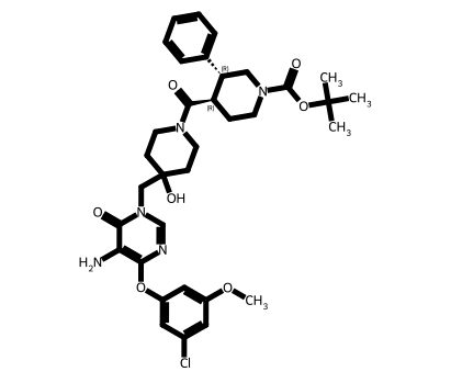 COc1cc(Cl)cc(Oc2ncn(CC3(O)CCN(C(=O)[C@@H]4CCN(C(=O)OC(C)(C)C)C[C@H]4c4ccccc4)CC3)c(=O)c2N)c1